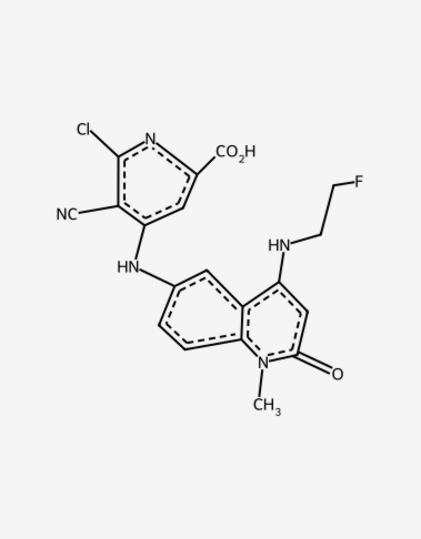 Cn1c(=O)cc(NCCF)c2cc(Nc3cc(C(=O)O)nc(Cl)c3C#N)ccc21